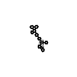 c1ccc(-c2nc(-c3ccc(-c4ccc(-c5cc6c7ccccc7c7ccccc7c6c6ccccc56)cc4)cc3)nc(-c3cccc4c3oc3ccccc34)n2)cc1